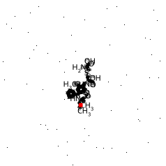 CCCC[C@]1(CC)CS(=O)(=O)c2cc(CN[C@@H](CSSC[C@H](N)C(=O)O)C(=O)O)c(OC)cc2[C@@H](c2ccccc2)N1